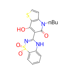 CCCCn1c(=O)c(C2=NS(=O)(=O)c3ccccc3N2)c(O)c2sccc21